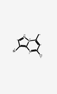 Cc1cc(Cl)nc2c(Br)cnn12